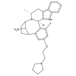 C[C@@H]1Cc2c([nH]c3ccccc23)[C@H]2c3c(F)cc(OCCN4CCCC4)cc3C3CCC(C3N)N21